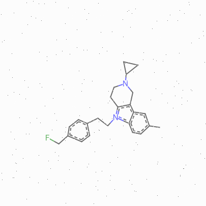 Cc1ccc2c(c1)c1c(n2CCc2ccc(CF)cc2)CCN(C2CC2)C1